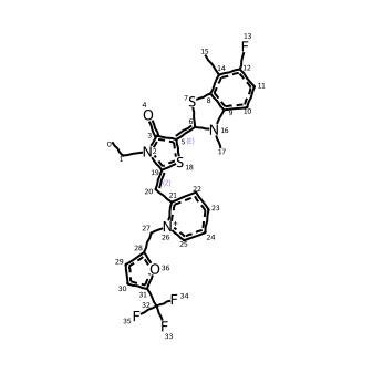 CCn1c(=O)/c(=C2\Sc3c(ccc(F)c3C)N2C)s/c1=C\c1cccc[n+]1Cc1ccc(C(F)(F)F)o1